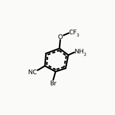 N#Cc1cc(OC(F)(F)F)c(N)cc1Br